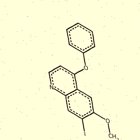 COc1cc2c(Oc3ccccc3)ccnc2cc1I